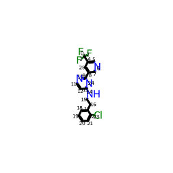 FC(F)(F)c1cncc(-c2nccc(NCCc3ccccc3Cl)n2)c1